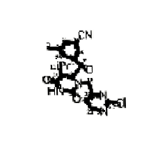 Cc1cc(C#N)cc(C(=O)c2c(C(C)C)c(=O)[nH]c(=O)n2Cc2ccnc(Cl)n2)c1